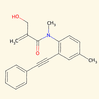 C=C(CO)C(=O)N(C)c1ccc(C)cc1C#Cc1ccccc1